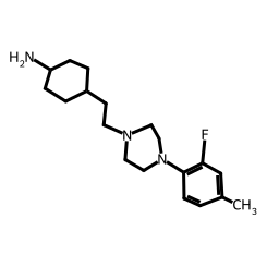 Cc1ccc(N2CCN(CCC3CCC(N)CC3)CC2)c(F)c1